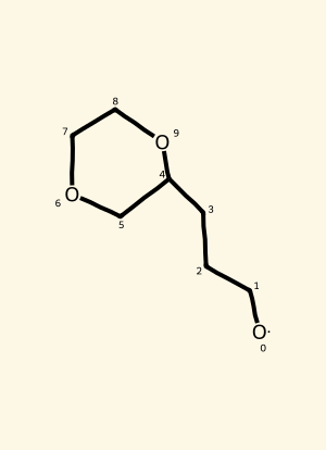 [O]CCCC1COCCO1